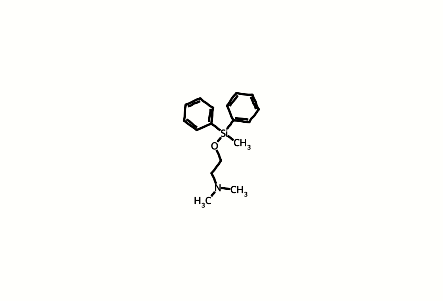 CN(C)CCO[Si](C)(c1ccccc1)c1ccccc1